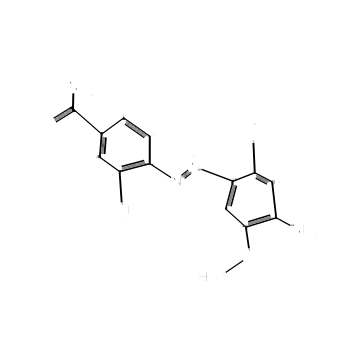 COc1cc(N=Nc2ccc(C(N)=O)cc2C)c(C)cc1N